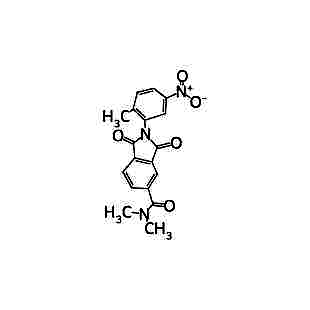 Cc1ccc([N+](=O)[O-])cc1N1C(=O)c2ccc(C(=O)N(C)C)cc2C1=O